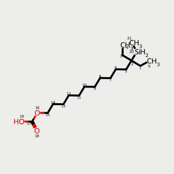 CCC(CC)(CCCCCCCCCCCOC(=O)O)[SiH2]C